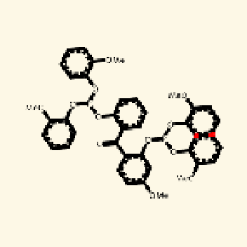 COc1ccc(C(=O)c2ccccc2OP(Oc2ccccc2OC)Oc2ccccc2OC)c(OP(Oc2ccccc2OC)Oc2ccccc2OC)c1